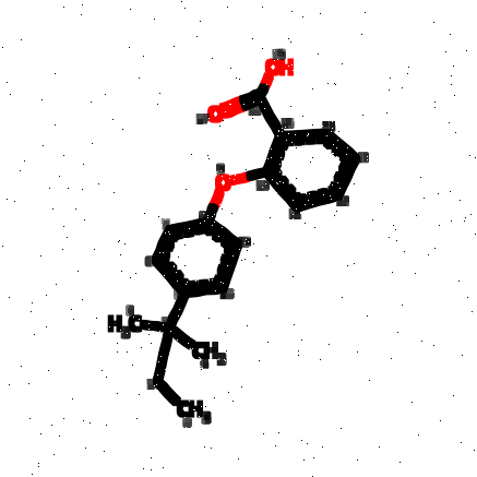 CCC(C)(C)c1ccc(Oc2ccccc2C(=O)O)cc1